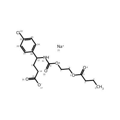 CCCC(=O)OCCOC(=O)NC(CCC(=O)[O-])c1ccc(Cl)cc1.[Na+]